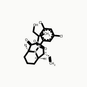 C=C[C@H]1CN(C(C)CO)C(=O)[C@@H]2CCC[C@H]1N2S(=O)(=O)c1cc(Cl)cc(Cl)c1